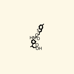 CC1=CC(O)Oc2cc(NC(=O)OCc3cc4cc(C)ccc4s3)ccc21